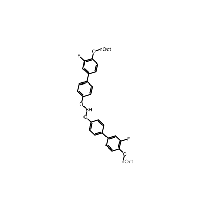 CCCCCCCCOc1ccc(-c2ccc(OBOc3ccc(-c4ccc(OCCCCCCCC)c(F)c4)cc3)cc2)cc1F